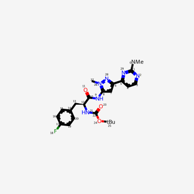 CNc1nccc(-c2cc(NC(=O)[C@H](Cc3ccc(F)cc3)NC(=O)OC(C)(C)C)n(C)n2)n1